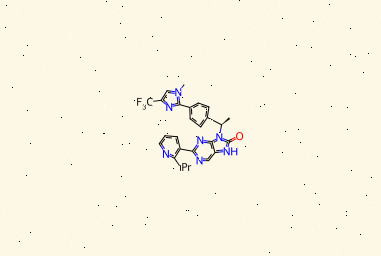 CC(C)c1ncccc1-c1ncc2[nH]c(=O)n([C@H](C)c3ccc(-c4nc(C(F)(F)F)cn4C)cc3)c2n1